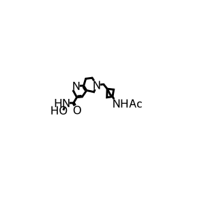 CC(=O)NC12CC(CN3CCc4ncc(C(=O)NO)cc4C3)(C1)C2